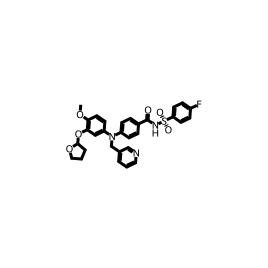 COc1ccc(N(Cc2cccnc2)c2ccc(C(=O)NS(=O)(=O)c3ccc(F)cc3)cc2)cc1OC1CCCO1